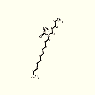 CCCCCCCCCCCN(CCCCC)C(N)=O